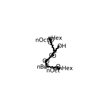 CCCCCCCCC(CCCCCC)C(=O)OCCCCCCN(CCCC)CCC(=O)OCCCCOC(=O)CCN(CCCCO)CCCCCCOC(=O)C(CCCCCC)CCCCCCCC